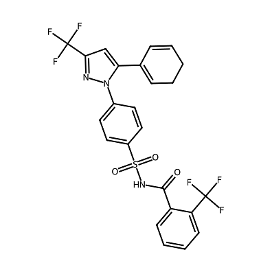 O=C(NS(=O)(=O)c1ccc(-n2nc(C(F)(F)F)cc2C2=CCCC=C2)cc1)c1ccccc1C(F)(F)F